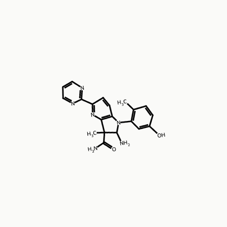 Cc1ccc(O)cc1N1c2ccc(-c3ncccn3)nc2C(C)(C(N)=O)C1N